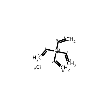 C=C[Si](C=C)(C=C)C=C.[C]